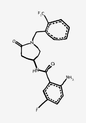 Nc1ccc(F)cc1C(=O)NC1CC(=O)N(Cc2ccccc2C(F)(F)F)C1